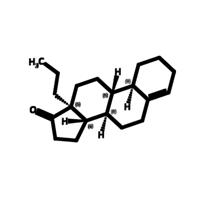 CCC[C@]12CC[C@H]3[C@@H](CCC4=CCCC[C@@H]43)[C@@H]1CCC2=O